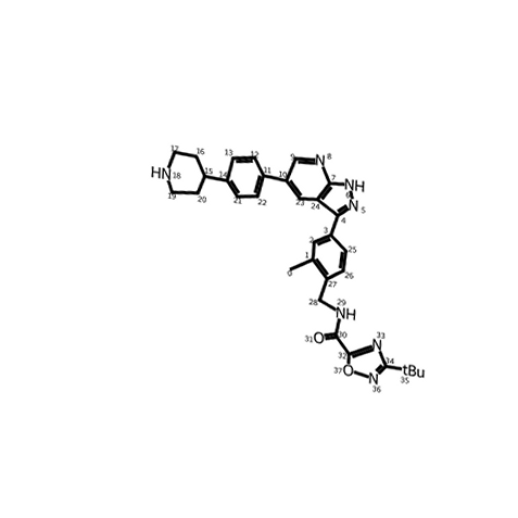 Cc1cc(-c2n[nH]c3ncc(-c4ccc(C5CCNCC5)cc4)cc23)ccc1CNC(=O)c1nc(C(C)(C)C)no1